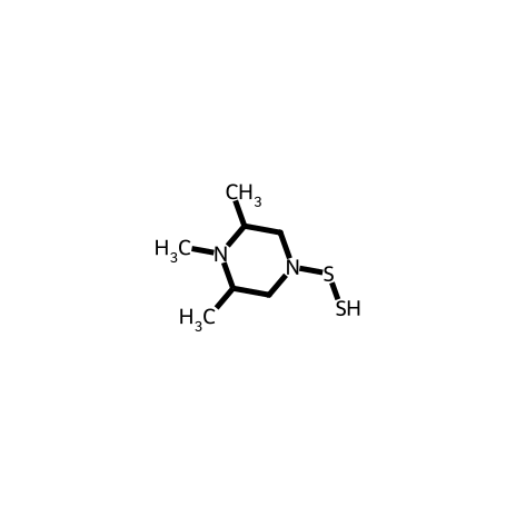 CC1CN(SS)CC(C)N1C